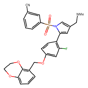 CNCc1cc(-c2ccc(OCc3cccc4c3OCCO4)cc2F)n(S(=O)(=O)c2cccc(C#N)c2)c1